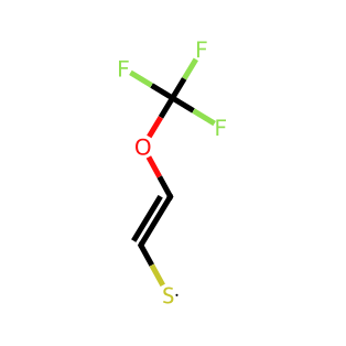 FC(F)(F)O/C=C/[S]